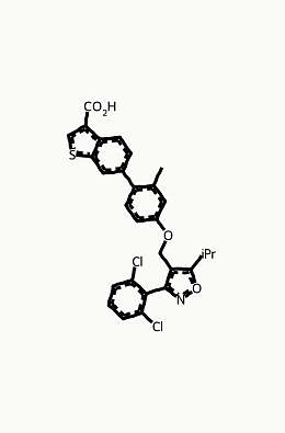 Cc1cc(OCc2c(-c3c(Cl)cccc3Cl)noc2C(C)C)ccc1-c1ccc2c(C(=O)O)csc2c1